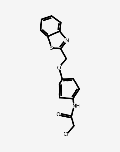 O=C(CCl)Nc1ccc(OCc2nc3ccccc3s2)cc1